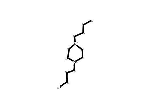 CCCCN1CCN(CCCI)CC1